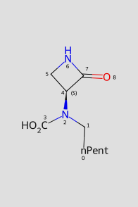 CCCCCCN(C(=O)O)[C@H]1CNC1=O